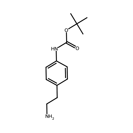 CC(C)(C)OC(=O)Nc1ccc(CCN)cc1